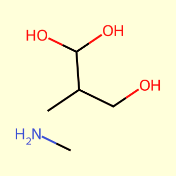 CC(CO)C(O)O.CN